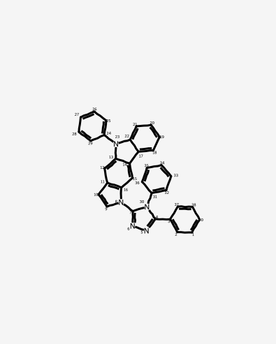 c1ccc(-c2nnc(-n3ccc4cc5c(cc43)c3ccccc3n5-c3ccccc3)n2-c2ccccc2)cc1